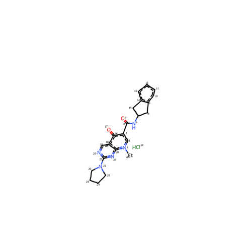 CCn1cc(C(=O)NC2Cc3ccccc3C2)c(=O)c2cnc(N3CCCC3)nc21.Cl